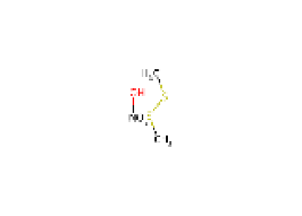 CSSC.O=[N+]([O-])O